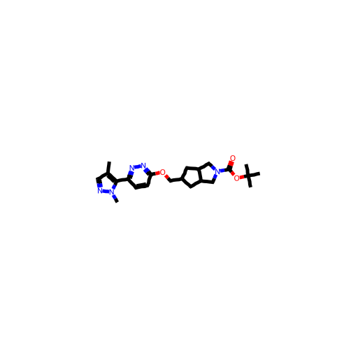 Cc1cnn(C)c1-c1ccc(OCC2CC3CN(C(=O)OC(C)(C)C)CC3C2)nn1